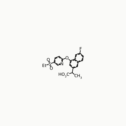 CCS(=O)(=O)c1ccc(Oc2cc(C(C)C(=O)O)cc3ccc(F)cc23)nc1